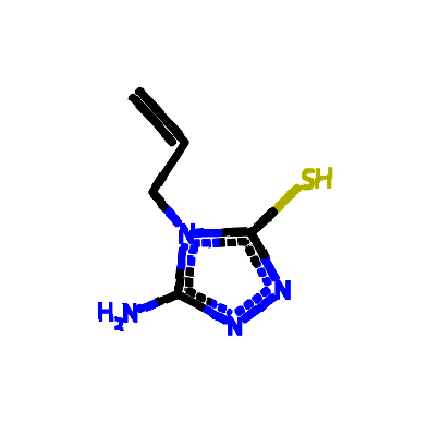 C=CCn1c(N)nnc1S